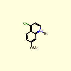 CC[n+]1ccc(Cl)c2ccc(OC)cc21